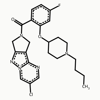 CCCCN1CCC(Oc2cc(F)ccc2C(=O)N2Cc3nn4cc(Cl)cnc4c3C2)CC1